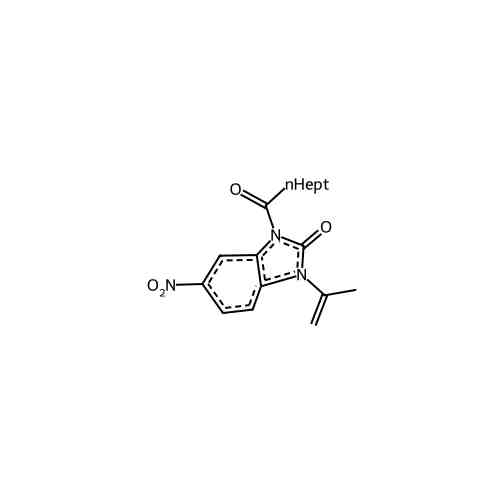 C=C(C)n1c(=O)n(C(=O)CCCCCCC)c2cc([N+](=O)[O-])ccc21